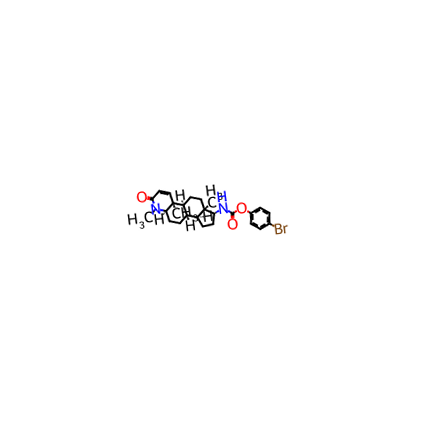 CN1C(=O)C=C[C@]2(C)[C@H]3CC[C@]4(C)[C@@H](NC(=O)Oc5ccc(Br)cc5)CC[C@H]4[C@@H]3CC[C@@H]12